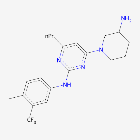 CCCc1cc(N2CCCC(N)C2)nc(Nc2ccc(C)c(C(F)(F)F)c2)n1